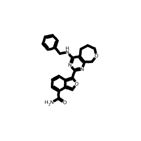 NC(=O)c1cccc2c(-c3nc4c(c(NCc5ccccc5)n3)CCCOC4)occ12